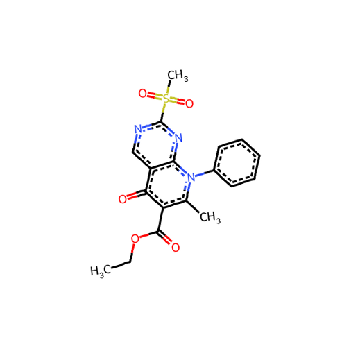 CCOC(=O)c1c(C)n(-c2ccccc2)c2nc(S(C)(=O)=O)ncc2c1=O